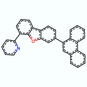 c1ccc(-c2cccc3c2oc2cc(-c4cc5ccccc5c5ccccc45)ccc23)nc1